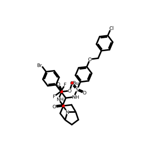 CC(C)(C)OC(=O)NC1CC2CCC(C1)N2C(=O)C(NS(=O)(=O)c1ccc(OCc2ccc(Cl)cc2)cc1)C(F)(F)c1ccc(Br)cc1